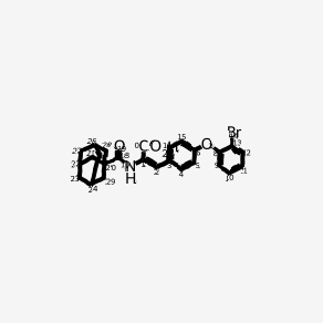 O=C(O)/C(=C\c1ccc(Oc2ccccc2Br)cc1)NC(=O)C12CC3CC(CC(C3)C1)C2